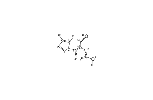 COc1ccc(C2C=CC(C)=C2C)c(C=O)c1